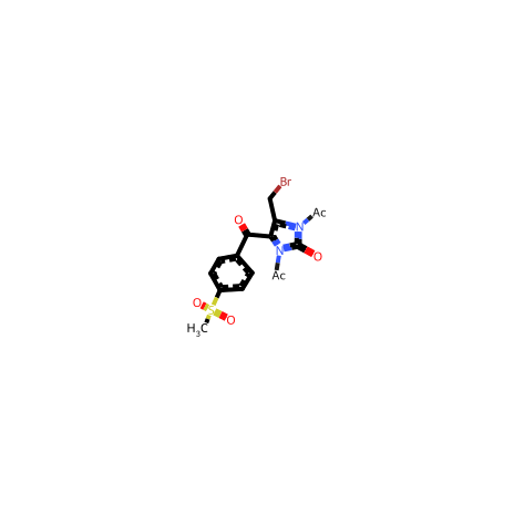 CC(=O)n1c(CBr)c(C(=O)c2ccc(S(C)(=O)=O)cc2)n(C(C)=O)c1=O